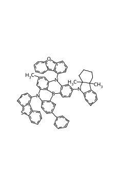 Cc1cc2c3c(c1)N(c1cccc4sc5ccccc5c14)c1ccc(-c4ccccc4)cc1B3c1ccc(N3c4ccccc4C4(C)CCCCC34C)cc1N2c1cccc2oc3ccccc3c12